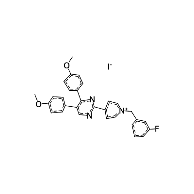 COc1ccc(-c2cnc(-c3cc[n+](Cc4cccc(F)c4)cc3)nc2-c2ccc(OC)cc2)cc1.[I-]